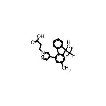 Cc1cc(-c2cnn(CCC(=O)O)c2)c2c(c1)C(O)(C(F)(F)F)c1ccccc1-2